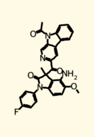 COc1ccc2c(c1N)C(C)(C(=O)c1cc3c4ccccc4n(C(C)=O)c3cn1)C(=O)N2c1ccc(F)cc1